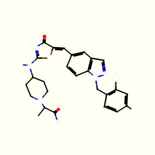 Cc1ccc(Cn2ncc3cc(/C=C4\SC(N(C)C5CCN(C(C)C(N)=O)CC5)=NC4=O)ccc32)c(C(F)(F)F)c1